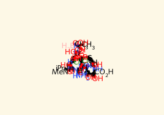 BC(=O)N[C@@]1(C)C[C@H](O[C@H]2[C@H](Oc3c4cc5cc3Oc3ccc(cc3Cl)[C@@H](O)[C@@H](NC(=O)[C@@H](CC(C)C)NC)C(=O)N[C@@H](CC(N)=O)C(=O)N[C@H]5C(=O)N[C@H]3C(=O)N[C@H](C(=O)N[C@H](C(=O)O)C5=CC(O)=CC5c5cc3ccc5O)[C@H](O)c3ccc(c(Cl)c3)O4)O[C@H](CO)[C@@H](O)[C@@H]2O)O[C@@H](C)[C@H]1O